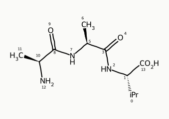 CC(C)[C@H](NC(=O)[C@H](C)NC(=O)[C@H](C)N)C(=O)O